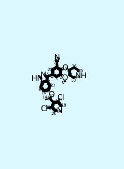 COc1cc(-c2n[nH]c3ccc(O[C@H](C)c4c(Cl)cncc4Cl)cc23)cc(C#N)c1OC1CCNCC1